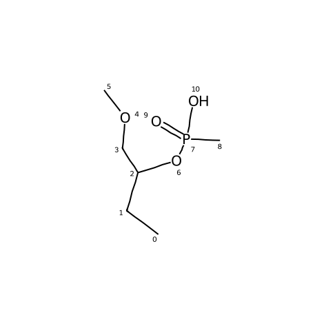 CCC(COC)OP(C)(=O)O